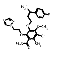 COc1c(Cl)c(C)c(C(C)=O)c(OCCn2cncn2)c1OCCC(C)c1ccc(F)cc1